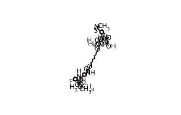 Cc1ncsc1-c1ccc(CNC(=O)[C@@H]2C[C@@H](O)CN2C(=O)[C@@H](NC(=O)COCCCCCCCCCOCC(=O)Nc2ccc(C(=O)Nc3ccc(F)cc3NC(=O)OC(C)(C)C)cc2)C(C)(C)C)cc1